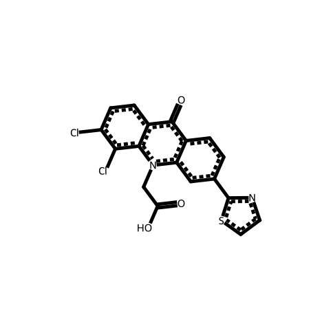 O=C(O)Cn1c2cc(-c3nccs3)ccc2c(=O)c2ccc(Cl)c(Cl)c21